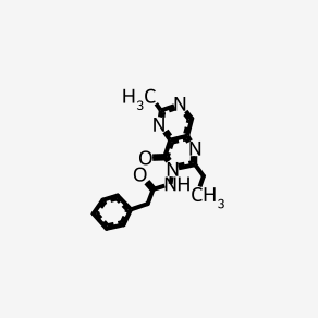 CCc1nc2cnc(C)nc2c(=O)n1NC(=O)Cc1ccccc1